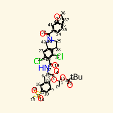 CC(OC(=O)[C@H](Cc1cccc(S(C)(=O)=O)c1)NC(=O)c1c(Cl)cc2c(c1Cl)CCN(C(=O)c1ccc3ccoc3c1)C2)OC(=O)C(C)(C)C